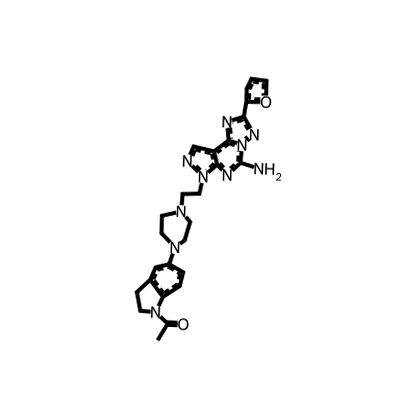 CC(=O)N1CCc2cc(N3CCN(CCn4ncc5c4nc(N)n4nc(-c6ccco6)nc54)CC3)ccc21